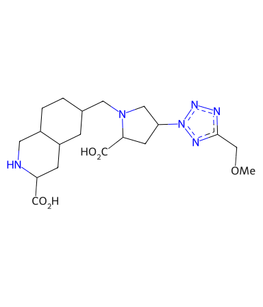 COCc1nnn(C2CC(C(=O)O)N(CC3CCC4CNC(C(=O)O)CC4C3)C2)n1